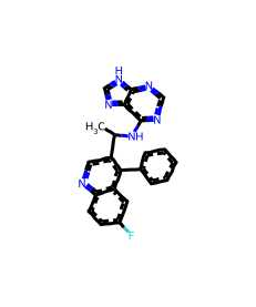 CC(Nc1ncnc2[nH]cnc12)c1cnc2ccc(F)cc2c1-c1ccccc1